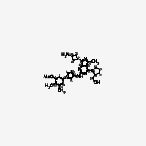 COc1cc(-n2cnc(Nc3nc(N4CCC[C@H]4CO)c4c(C)nn([C@H]5C[C@@H](N)C5)c4n3)c2)cc(C)c1C